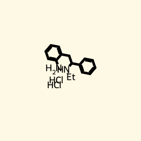 CCNC(Cc1ccccc1N)c1ccccc1.Cl.Cl